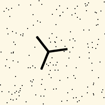 C[C](C)C